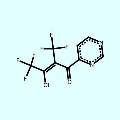 O=C(/C(=C(\O)C(F)(F)F)C(F)(F)F)c1ccncn1